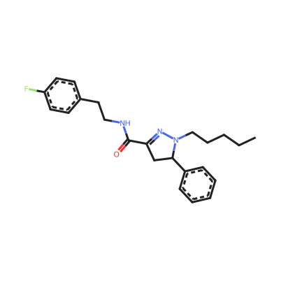 CCCCCN1N=C(C(=O)NCCc2ccc(F)cc2)CC1c1ccccc1